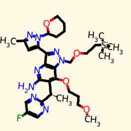 COCCCOc1c([C@H](C)c2ncc(F)cn2)c(N)nc2c(-c3cc(C)nn3C3CCCCO3)nn(COCC[Si](C)(C)C)c12